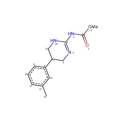 COC(=O)NC1=NCC(c2cccc(C)c2)CN1